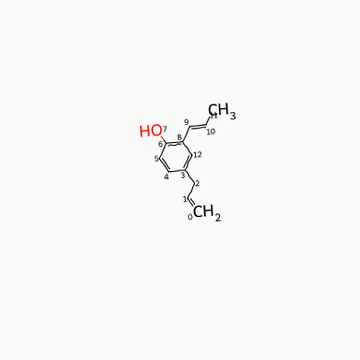 C=CCc1ccc(O)c(C=CC)c1